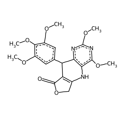 COc1nc(OC)c2c(n1)C(c1cc(OC)c(OC)c(OC)c1)C1=C(COC1=O)N2